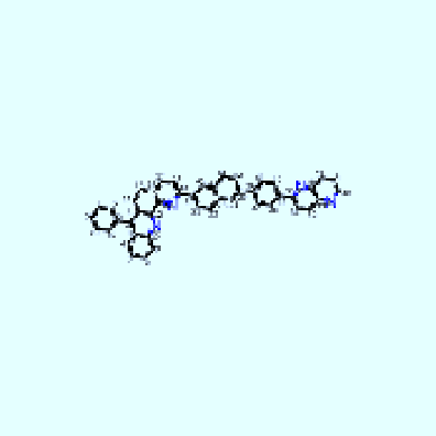 c1ccc(-c2c3ccccc3nc3c2ccc2ccc(-c4ccc5cc(-c6ccc(-c7ccc8ncccc8n7)cc6)ccc5c4)nc23)cc1